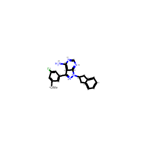 COc1cc(F)cc(-c2nn(C3Cc4ccccc4C3)c3ncnc(N)c23)c1